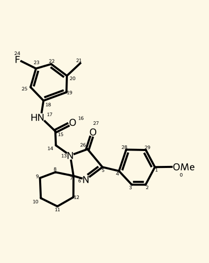 COc1ccc(C2=NC3(CCCCC3)N(CC(=O)Nc3cc(C)cc(F)c3)C2=O)cc1